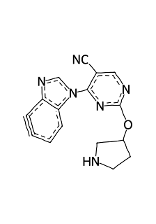 N#Cc1cnc(OC2CCNC2)nc1-n1cnc2c#cccc21